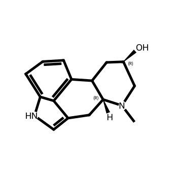 CN1C[C@H](O)CC2c3cccc4[nH]cc(c34)C[C@H]21